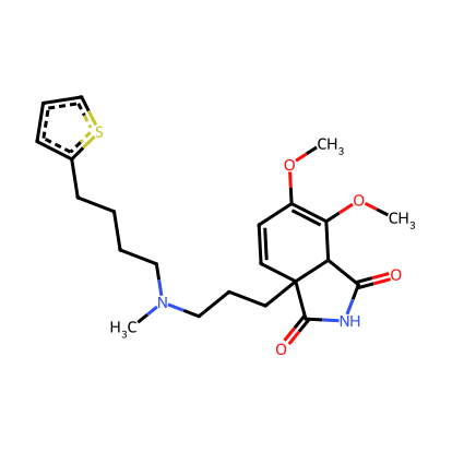 COC1=C(OC)C2C(=O)NC(=O)C2(CCCN(C)CCCCc2cccs2)C=C1